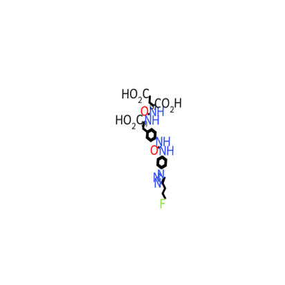 O=C(O)CC[C@H](NC(=O)N[C@@H](Cc1ccc(NC(=O)Nc2ccc(-n3cc(CCCF)nn3)cc2)cc1)C(=O)O)C(=O)O